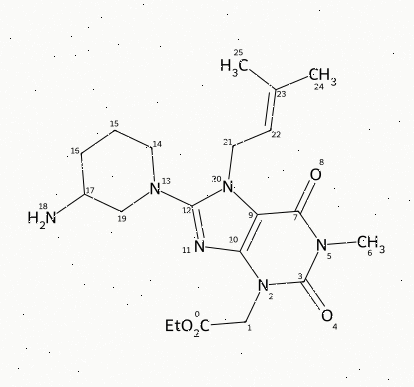 CCOC(=O)Cn1c(=O)n(C)c(=O)c2c1nc(N1CCCC(N)C1)n2CC=C(C)C